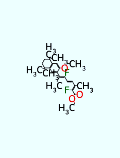 CCOC(=O)C(F)=C(C)C=CC(F)=C(CC)c1cc2c(cc1OCC)C(C)(C)CCC2(C)C